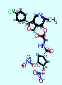 Cc1ncc2c(c1OC(=O)CNC(=O)[C@@H]1C[C@H](O[N+](=O)[O-])[C@H](O[N+](=O)[O-])C1)CO[C@H]2c1ccc(Cl)cc1